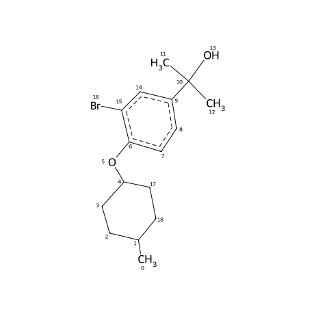 CC1CCC(Oc2ccc(C(C)(C)O)cc2Br)CC1